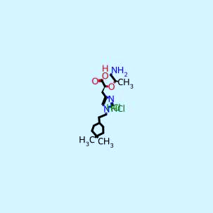 C[C@H](CN)O[C@@H](Cc1cn(CCC2CCC(C)(C)CC2)cn1)C(=O)O.Cl.Cl